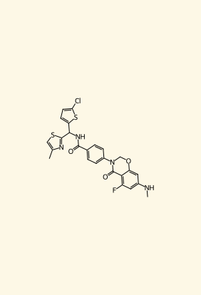 CNc1cc(F)c2c(c1)OCN(c1ccc(C(=O)NC(c3ccc(Cl)s3)c3nc(C)cs3)cc1)C2=O